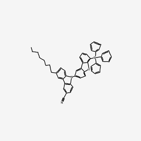 CCCCCCCCc1ccc2c(c1)c1cc(C#N)ccc1n2-c1ccc2oc3c([Si](c4ccccc4)(c4ccccc4)c4ccccc4)cccc3c2c1